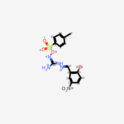 Cc1ccc(S(=O)(=O)ON=C(N)NN=Cc2cc([N+](=O)[O-])ccc2Br)cc1